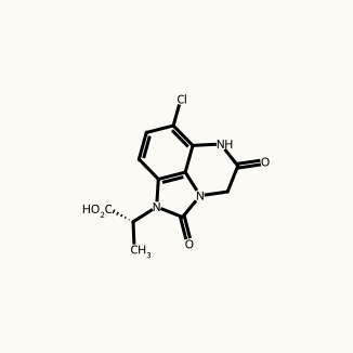 C[C@H](C(=O)O)n1c(=O)n2c3c(c(Cl)ccc31)NC(=O)C2